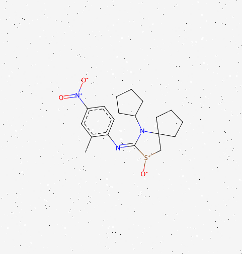 Cc1cc([N+](=O)[O-])ccc1/N=C1\N(C2CCCC2)C2(CCCC2)C[S+]1[O-]